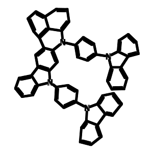 c1cc2c3c(cccc3c1)N(c1ccc(-n3c4ccccc4c4ccccc43)cc1)c1cc3c(cc1-2)c1ccccc1n3-c1ccc(-n2c3ccccc3c3ccccc32)cc1